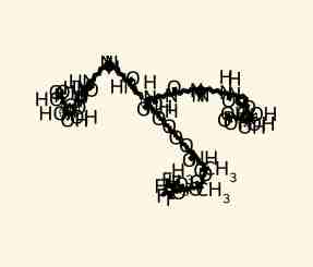 CC(C)(CCNC(=O)CCOCCOCCOCCOCCNC(=O)[C@H](CCCCNC(=O)CCCCn1cc(CCCCNC(=O)Nc2ccc(O[C@H]3O[C@H](CCP(=O)(O)O)[C@@H](O)[C@H](O)[C@@H]3O)cc2)nn1)NC(=O)CCCNC(=O)CCCCn1cc(CCCCNC(=O)Nc2ccc(O[C@H]3O[C@H](CCP(=O)(O)O)[C@@H](O)[C@H](O)[C@@H]3O)cc2)nn1)OCCC(C)(C)OCCC(=O)Oc1c(F)c(F)c(F)c(F)c1F